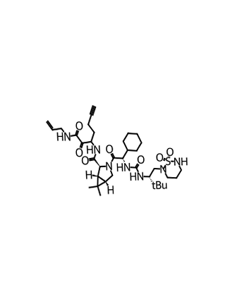 C#CCCC(NC(=O)[C@@H]1[C@@H]2[C@H](CN1C(=O)[C@@H](NC(=O)N[C@H](CN1CCCNS1(=O)=O)C(C)(C)C)C1CCCCC1)C2(C)C)C(=O)C(=O)NCC=C